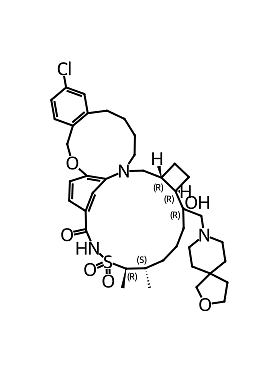 C[C@@H]1[C@@H](C)CCC[C@](O)(CN2CCC3(CCOC3)CC2)[C@@H]2CC[C@H]2CN2CCCCc3cc(Cl)ccc3COc3ccc(cc32)C(=O)NS1(=O)=O